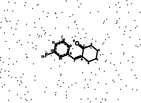 O=C1CCCCC1=Cc1cccc(F)c1